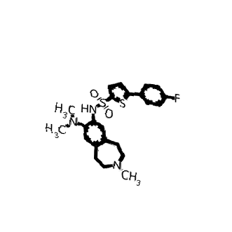 CN1CCc2cc(NS(=O)(=O)c3ccc(-c4ccc(F)cc4)s3)c(N(C)C)cc2CC1